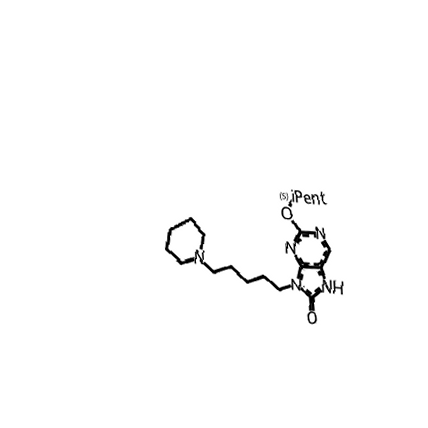 CCC[C@H](C)Oc1ncc2[nH]c(=O)n(CCCCCN3CCCCC3)c2n1